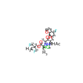 CCCOc1cc(F)cc(CC(NC(C)=O)C(O)C2COC(OCC(C)(CF)CF)C(C)N2)c1.Cl